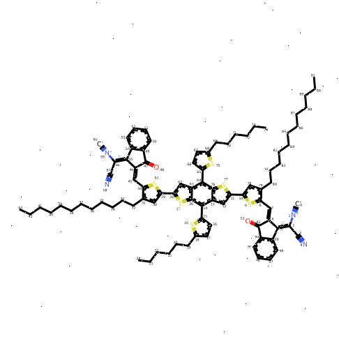 [C-]#[N+]/C(C#N)=C1\C(=Cc2sc(-c3cc4c(-c5ccc(CCCCCC)s5)c5sc(-c6cc(CCCCCCCCCCCC)c(C=C7C(=O)c8ccccc8/C7=C(/C#N)[N+]#[C-])s6)cc5c(-c5ccc(CCCCCC)s5)c4s3)cc2CCCCCCCCCCCC)C(=O)c2ccccc21